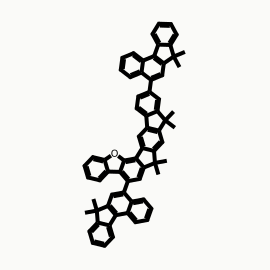 CC1(C)c2cc(-c3cc4c(c5ccccc35)-c3ccccc3C4(C)C)ccc2-c2cc3c(cc21)C(C)(C)c1cc(-c2cc4c(c5ccccc25)-c2ccccc2C4(C)C)c2c(oc4ccccc42)c1-3